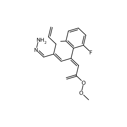 C=CCC(/C=N\N)=C\C(=C/C(=C)OOC)c1c(C)cccc1F